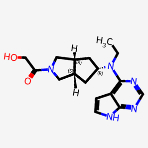 CCN(c1ncnc2[nH]ccc12)[C@@H]1C[C@@H]2CN(C(=O)CO)C[C@@H]2C1